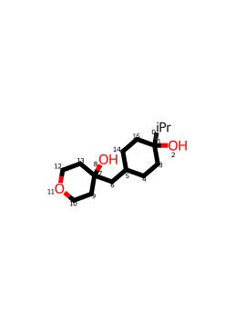 CC(C)C1(O)CCC(CC2(O)CCOCC2)CC1